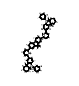 CC1(C)c2cc(-c3cccc(-c4ccc5c(c4)C4(C)CCCCC4(C)N5c4ccccc4)n3)ccc2-c2ccc(-c3cccc(-c4ccc5c(c4)C4(C)CCCCC4(C)N5c4ccccc4)n3)cc21